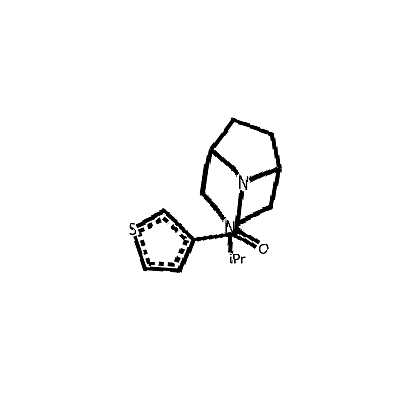 CC(C)N1CC2CCC(C1)N2C(=O)c1ccsc1